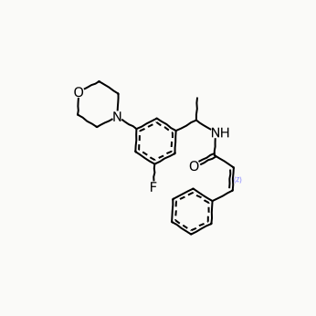 CC(NC(=O)/C=C\c1ccccc1)c1cc(F)cc(N2CCOCC2)c1